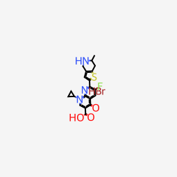 Br.CC1Cc2sc(-c3nc4c(cc3F)c(=O)c(C(=O)O)cn4C3CC3)cc2CN1